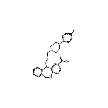 O=C(O)c1ccc2c(c1)C(SCCN1CCN(c3ccc(F)cc3)CC1)c1ccccc1CO2